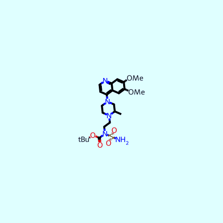 COc1cc2nccc(N3CCN(CCN(C(=O)OC(C)(C)C)S(N)(=O)=O)C(C)C3)c2cc1OC